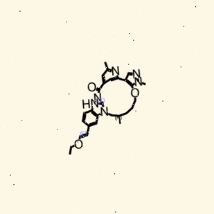 CCO/C=C/c1ccc2c(c1)N1C[C@H](C)CCCOc3c(cnn3C)-c3cc(cc(C)n3)C(=O)/N=C/1N2